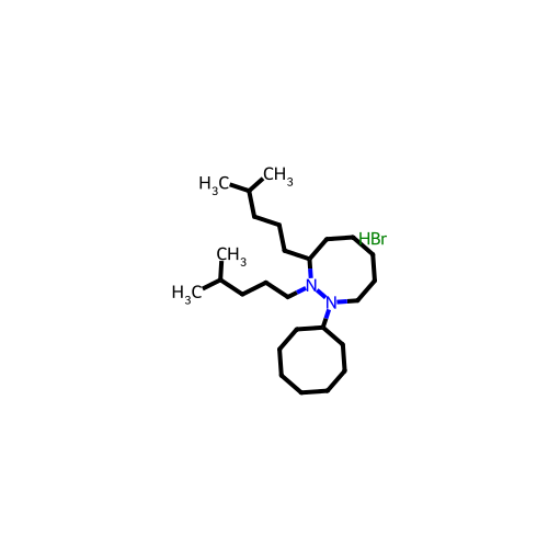 Br.CC(C)CCCC1CCCCCN(C2CCCCCCC2)N1CCCC(C)C